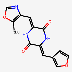 CC(C)(C)c1ocnc1C=c1[nH]c(=O)c(=Cc2ccoc2)[nH]c1=O